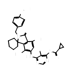 COc1ccc(CN2C(=O)c3c(C)cc(Nc4ncnc(NC(=O)C5CC5)c4C)c(C)c3C23CCCCC3)cc1